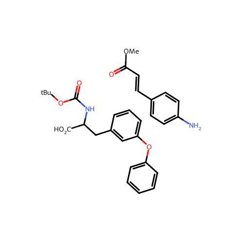 CC(C)(C)OC(=O)NC(Cc1cccc(Oc2ccccc2)c1)C(=O)O.COC(=O)C=Cc1ccc(N)cc1